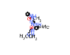 COc1ccc(NC(=O)/C=C/CN(C)C)cc1Nc1cc(N(C)C(=O)Nc2ccccc2)ncn1